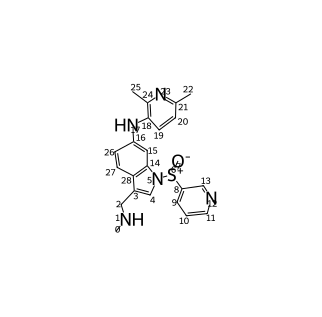 CNCc1cn([S+]([O-])c2cccnc2)c2cc(Nc3ccc(C)nc3C)ccc12